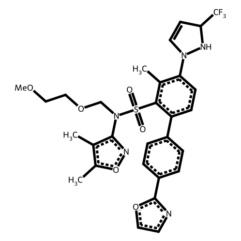 COCCOCN(c1noc(C)c1C)S(=O)(=O)c1c(-c2ccc(-c3ncco3)cc2)ccc(N2C=CC(C(F)(F)F)N2)c1C